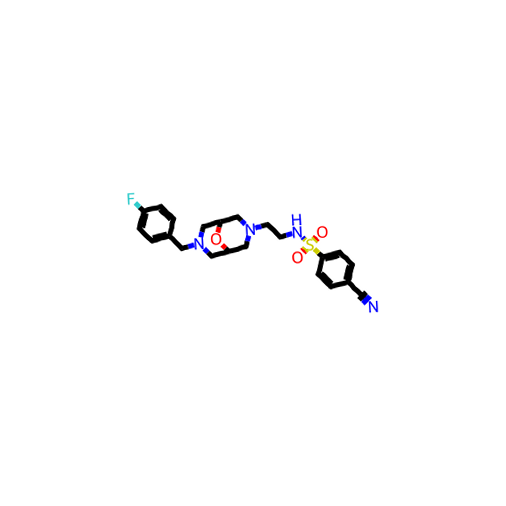 N#Cc1ccc(S(=O)(=O)NCCN2CC3CN(Cc4ccc(F)cc4)CC(C2)O3)cc1